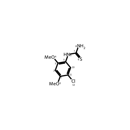 COc1cc(OC)c(NC(N)=S)cc1Cl